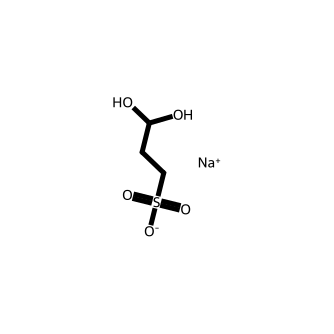 O=S(=O)([O-])CCC(O)O.[Na+]